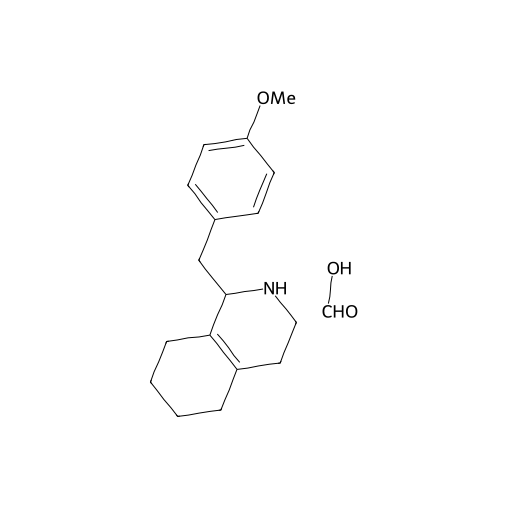 COc1ccc(CC2NCCC3=C2CCCC3)cc1.O=CO